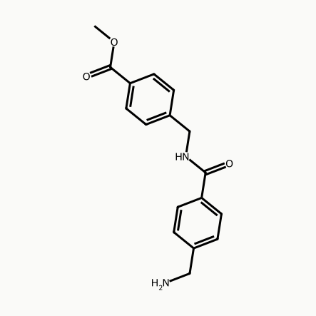 COC(=O)c1ccc(CNC(=O)c2ccc(CN)cc2)cc1